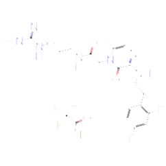 Cc1cnc(NCCc2ccc(F)cc2F)c(=O)n1CC(=O)NCCONC(=N)N.O=C(O)C(F)(F)F